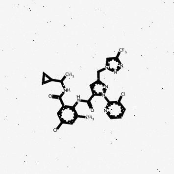 Cc1cc(Cl)cc(C(=O)NC(C)C2CC2)c1NC(=O)c1cc(Cn2cc(C(F)(F)F)nn2)nn1-c1ncccc1Cl